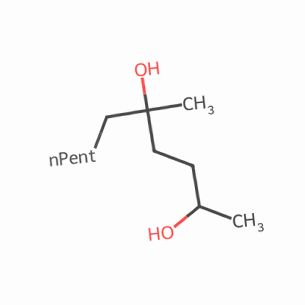 CCCCCCC(C)(O)CCC(C)O